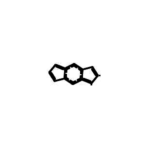 [C]1=Cc2cc3c(cc2=[C]1)C=CC=3